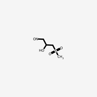 CS(=O)(=O)CC(O)CN=O